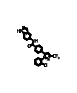 O=C(Nc1ccc2[nH]ncc2c1)c1ccc(-c2cc(C(F)(F)F)nn2-c2ccccc2Cl)cc1